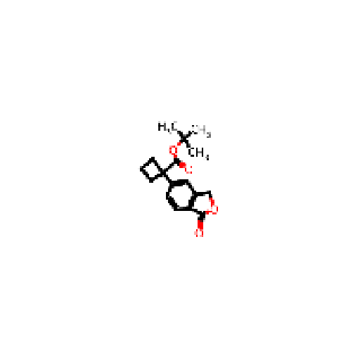 CC(C)(C)OC(=O)C1(c2ccc3c(c2)COC3=O)CCC1